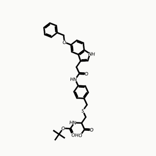 CC(C)(C)OC(=O)NC(CSCc1ccc(NC(=O)Cc2c[nH]c3ccc(OCc4ccccc4)cc23)cc1)C(=O)O